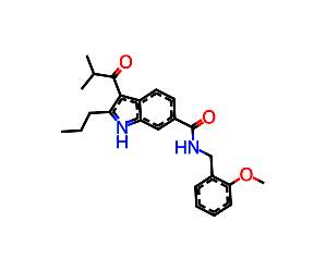 CCCc1[nH]c2cc(C(=O)NCc3ccccc3OC)ccc2c1C(=O)C(C)C